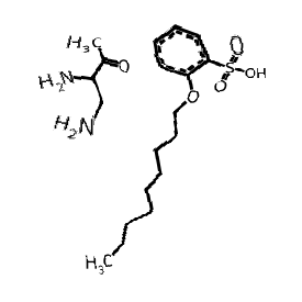 CC(=O)C(N)CN.CCCCCCCCCOc1ccccc1S(=O)(=O)O